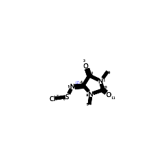 CN1C(=O)/C(=N/SCl)N(C)C1=O